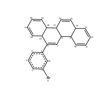 Brc1cccc(C2=CC3C4C=CC=CC4C=CC3C3C=CC=CC23)c1